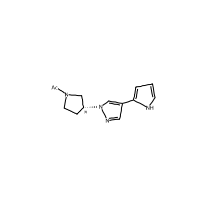 CC(=O)N1CC[C@@H](n2cc(-c3ccc[nH]3)cn2)C1